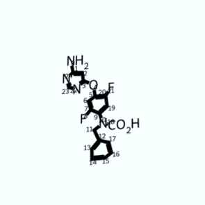 Nc1cc(Oc2cc(F)c(N(Cc3ccccc3)C(=O)O)cc2F)ncn1